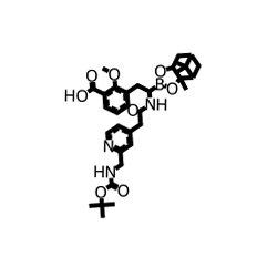 COc1c(CC(NC(=O)Cc2ccnc(CNC(=O)OC(C)(C)C)c2)B2OC3CC4CC(C4(C)C)C3(C)O2)cccc1C(=O)O